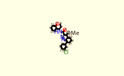 COc1c(C(=O)N[C@H]2CCOc3ccccc32)nnc2c(-c3cccc(Cl)c3)cccc12